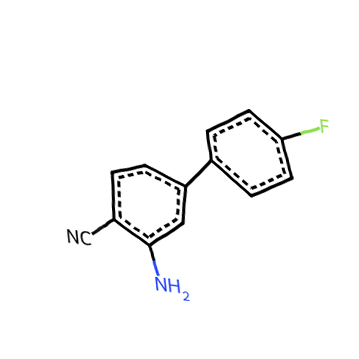 N#Cc1ccc(-c2ccc(F)cc2)cc1N